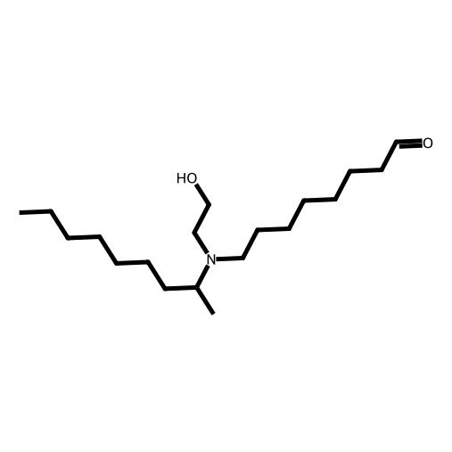 CCCCCCCC(C)N(CCO)CCCCCCCC=O